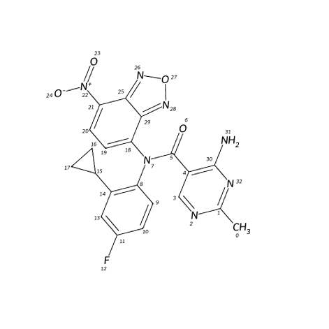 Cc1ncc(C(=O)N(c2ccc(F)cc2C2CC2)c2ccc([N+](=O)[O-])c3nonc23)c(N)n1